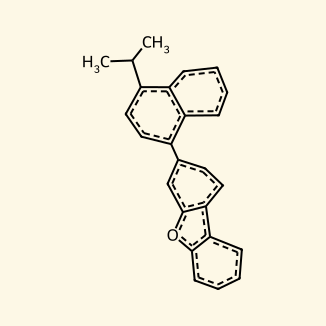 CC(C)c1ccc(-c2ccc3c(c2)oc2ccccc23)c2ccccc12